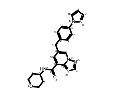 O=C(NC1CCOCC1)c1cc(Cc2ccc(-n3cccn3)cc2)cn2ncnc12